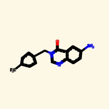 Nc1ccc2ncn(Cc3ccc(C(F)(F)F)cc3)c(=O)c2c1